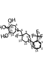 O[C@H]1[C@H](O)CN(CC2(F)CCN(c3ncccc3C(F)(F)F)CC2)C[C@@H]1O